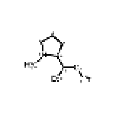 CC[C@H](OC(C)C)[C@@H]1CCCN1C